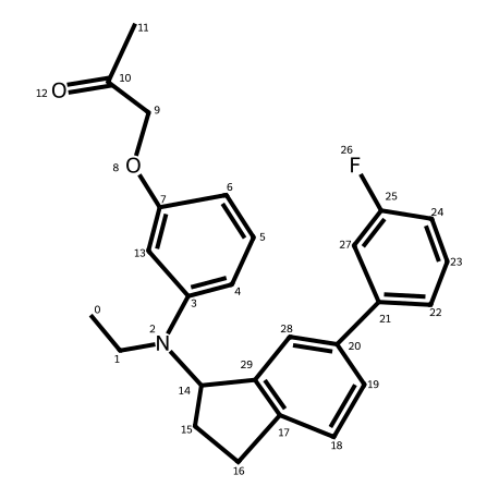 CCN(c1cccc(OCC(C)=O)c1)C1CCc2ccc(-c3cccc(F)c3)cc21